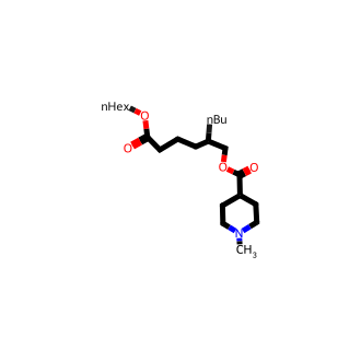 CCCCCCOC(=O)CCCC(CCCC)COC(=O)C1CCN(C)CC1